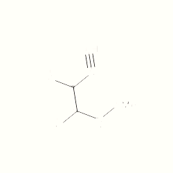 C#SC(C)C(C)SSC